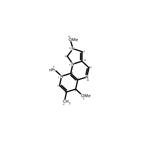 CCCN1C=C(C)C(OC)C2=C1N1CN(OC)C=C1C=N2